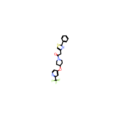 O=C(Cc1csc(-c2ccccc2)n1)N1CCC(Oc2ccnc(C(F)(F)F)c2)CC1